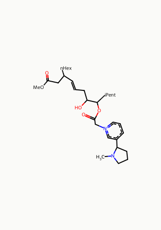 CCCCCCC(C=CCC(O)C(OC(=O)C[n+]1cccc(C2CCCN2C)c1)C(C)CCC)CC(=O)OC